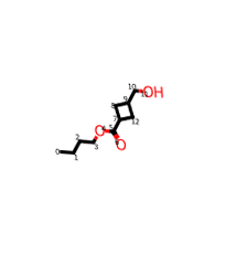 CCCCOC(=O)C1CC(CO)C1